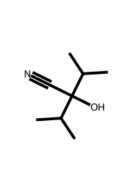 CC(C)C(O)(C#N)C(C)C